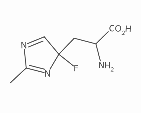 CC1=NC(F)(CC(N)C(=O)O)C=N1